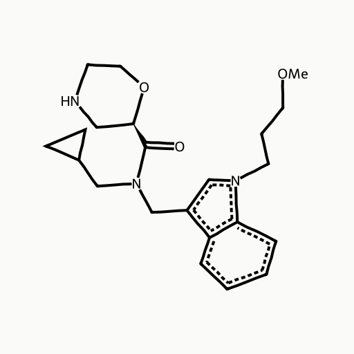 COCCCn1cc(CN(CC2CC2)C(=O)[C@H]2CNCCO2)c2ccccc21